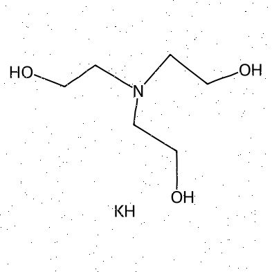 OCCN(CCO)CCO.[KH]